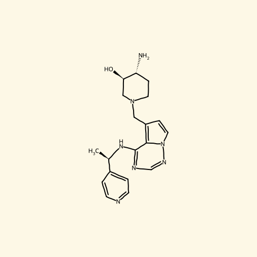 C[C@@H](Nc1ncnn2ccc(CN3CC[C@@H](N)[C@H](O)C3)c12)c1ccncc1